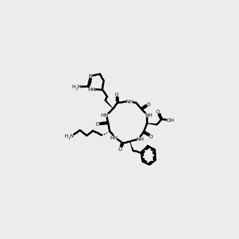 NCCCC[C@H]1NC(=O)[C@H](Cc2ccccc2)NC(=O)[C@H](CC(=O)O)NC(=O)CNC(=O)[C@H](CCC2CCN=C(N)N2)NC1=O